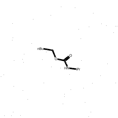 CCCCCOC(=O)NC(C)C